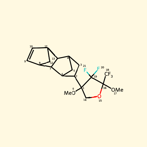 COC1(C2CC3CC2C2C4C=CC(C4)C32)COC(OC)(C(F)(F)F)C1(F)F